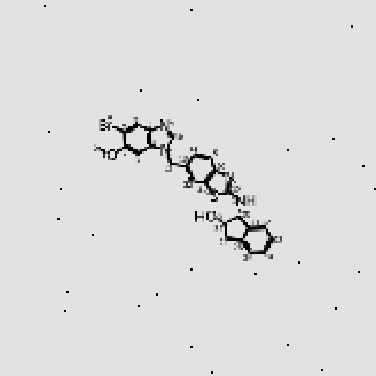 COc1cc2c(cc1Br)ncn2Cc1ccc2nc(N[C@@H]3c4ccccc4C[C@H]3O)sc2c1